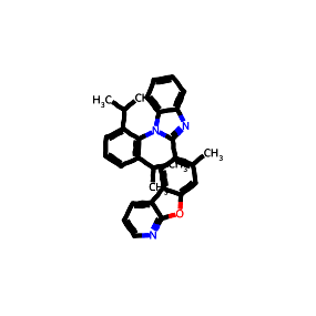 Cc1cc2oc3ncccc3c2cc1-c1nc2ccccc2n1-c1c(C(C)C)cccc1C(C)C